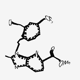 COC(=O)c1ccc2nc(C)n(Cc3ccc(C(F)(F)F)cc3Cl)c2n1